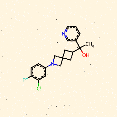 CC(O)(c1cccnc1)C1CC2(C1)CN(c1ccc(F)c(Cl)c1)C2